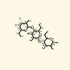 CCC1O[C@@H](C)C(C)[C@@H](C)[C@@H]1O[C@@H]1OC(CC)[C@H](OC2OC(CC)[C@H](C)[C@H](C)C2C)[C@H](C)C1C